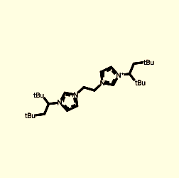 CC(C)(C)CC([n+]1ccn(CCn2cc[n+](C(CC(C)(C)C)C(C)(C)C)c2)c1)C(C)(C)C